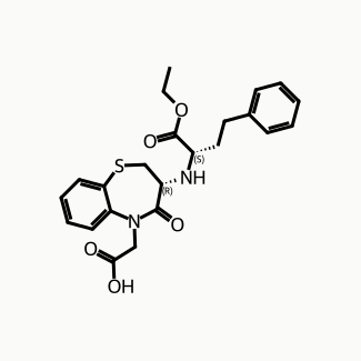 CCOC(=O)[C@H](CCc1ccccc1)N[C@H]1CSc2ccccc2N(CC(=O)O)C1=O